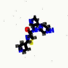 O=C(Nc1cnccc1N1CCNCC1)c1csc(-c2ccncc2)n1